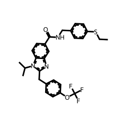 CCSc1ccc(CNC(=O)c2ccc3c(c2)nc(Cc2ccc(OC(F)(F)F)cc2)n3C(C)C)cc1